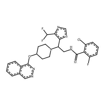 O=C(NCC(c1scnc1C(F)F)N1CCC(Oc2nncc3ccccc23)CC1)c1c(F)cccc1Cl